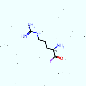 N=C(N)NCCC[C@@H](N)C(=O)I